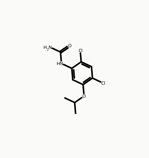 CC(C)Oc1cc(NC(N)=O)c(Cl)cc1Cl